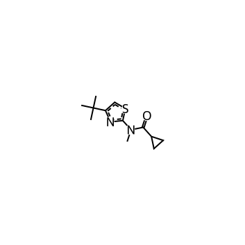 CN(C(=O)C1CC1)c1nc(C(C)(C)C)cs1